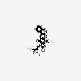 CC(C)=CCn1c(Cl)nc2c1c(=O)n(Cc1cncc3ccccc13)c(=O)n2C